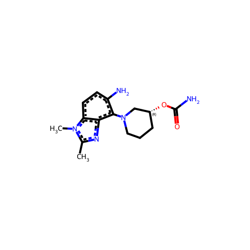 Cc1nc2c(N3CCC[C@@H](OC(N)=O)C3)c(N)ccc2n1C